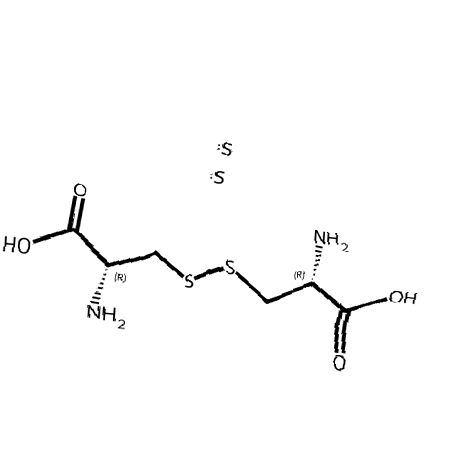 N[C@@H](CSSC[C@H](N)C(=O)O)C(=O)O.[S].[S]